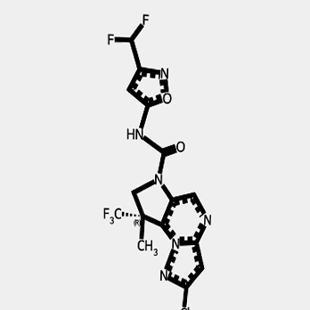 C[C@@]1(C(F)(F)F)CN(C(=O)Nc2cc(C(F)F)no2)c2cnc3cc(Cl)nn3c21